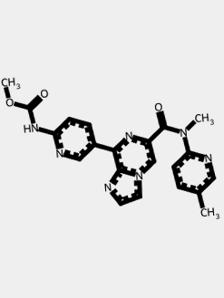 COC(=O)Nc1ccc(-c2nc(C(=O)N(C)c3ccc(C)cn3)cn3ccnc23)cn1